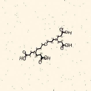 O=C(O)CCN(CCCOCCCN(CCC(=O)O)CCC(=O)O)CCC(=O)O